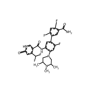 CC1CN(c2cc(F)c(-c3cc(C(N)=O)c(F)cc3F)cc2NC(=O)c2c[nH]c(=O)cc2C(F)F)CC(C)N1C